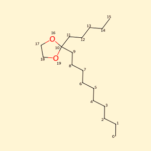 CCCCCCCCCCC1(CCCCC)OCCO1